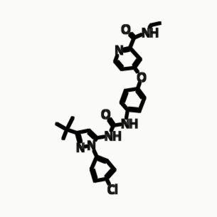 CCNC(=O)c1cc(Oc2ccc(NC(=O)Nc3cc(C(C)(C)C)nn3-c3ccc(Cl)cc3)cc2)ccn1